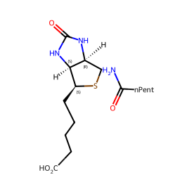 CCCCCC(N)=O.O=C(O)CCCC[C@@H]1SC[C@@H]2NC(=O)N[C@@H]21